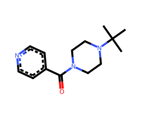 CC(C)(C)N1CCN(C(=O)c2ccncc2)CC1